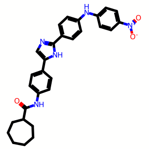 O=C(Nc1ccc(-c2cnc(-c3ccc(Nc4ccc([N+](=O)[O-])cc4)cc3)[nH]2)cc1)C1CCCCCC1